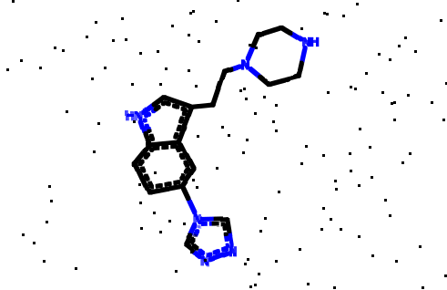 c1cc2[nH]cc(CCN3CCNCC3)c2cc1-n1cnnc1